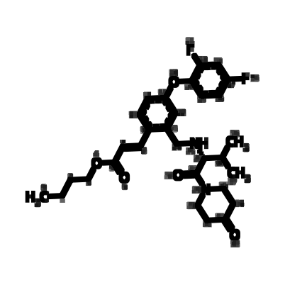 CCCCOC(=O)/C=C/c1ccc(Oc2ccc(F)cc2F)cc1CN[C@@H](C(=O)N1CCC(=O)CC1)C(C)C